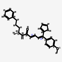 COc1ccc(/C(=C/C=C/C(=O)N[C@H](C)CCCc2cccnc2)c2cccs2)cc1